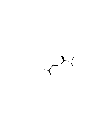 CCOC(=O)C(C)COC(=O)N(CC)CC